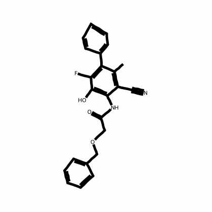 Cc1c(C#N)c(NC(=O)COCc2ccccc2)c(O)c(F)c1-c1ccccc1